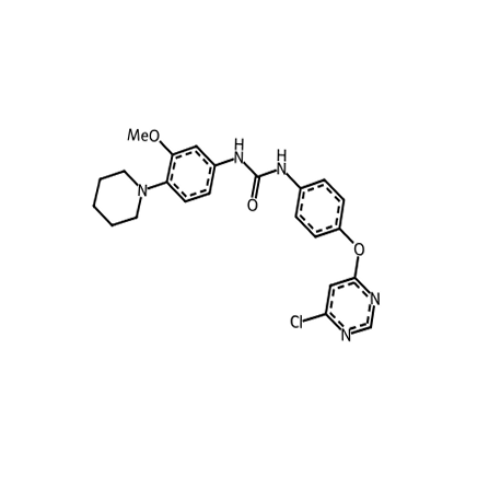 COc1cc(NC(=O)Nc2ccc(Oc3cc(Cl)ncn3)cc2)ccc1N1CCCCC1